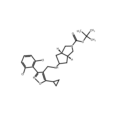 CC(C)(C)OC(=O)N1C[C@H]2CC(NCc3c(-c4c(Cl)cccc4Cl)noc3C3CC3)C[C@H]2C1